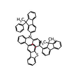 CC1(C)c2ccccc2-c2cccc(-c3ccc(N(c4ccc5c(c4)C(C)(c4ccccc4)c4ccccc4-5)c4ccccc4-c4ccc5sc6ccccc6c5c4)cc3)c21